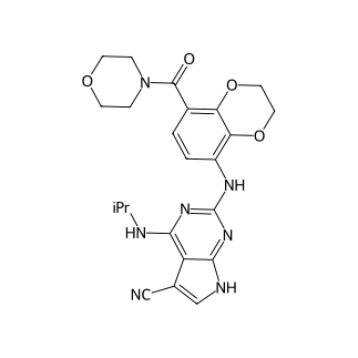 CC(C)Nc1nc(Nc2ccc(C(=O)N3CCOCC3)c3c2OCCO3)nc2[nH]cc(C#N)c12